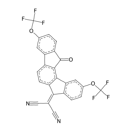 N#CC(C#N)=C1c2ccc(OC(F)(F)F)cc2-c2c1ccc1c2C(=O)c2ccc(OC(F)(F)F)cc2-1